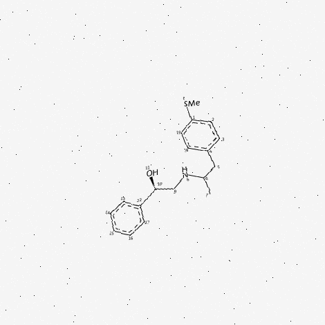 CSc1ccc(CC(C)NC[C@H](O)c2ccccc2)cc1